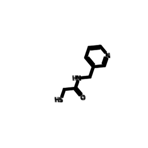 O=C(CS)NCc1cccnc1